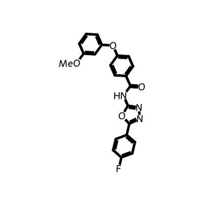 COc1cccc(Oc2ccc(C(=O)Nc3nnc(-c4ccc(F)cc4)o3)cc2)c1